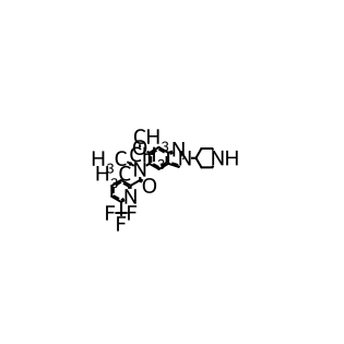 COc1cc2nn(C3CCNCC3)cc2cc1N(C(=O)c1cccc(C(F)(F)F)n1)C(C)(C)C